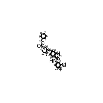 O=C(OCc1ccccc1)N1CCC(Oc2cc3c(Nc4ccc(F)c(Cl)c4)ncnc3cc2Br)CC1